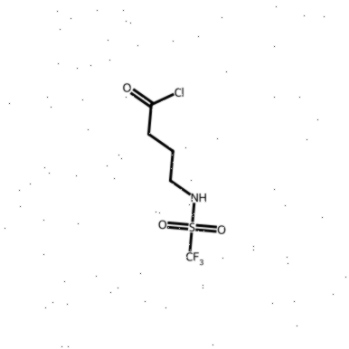 O=C(Cl)CCCNS(=O)(=O)C(F)(F)F